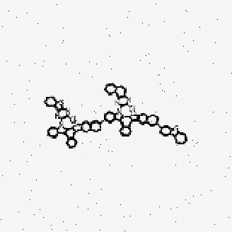 Clc1nc2ccc3ccccc3c2nc1-n1c2ccc(-c3ccc4cc5c(cc4c3)oc3c5c4ccccc4c4c5ccccc5n(-c5nc6c(nc5Cl)sc5ccccc56)c34)cc2c2c3ccccc3c3c4cc5cc(-c6ccc7c(c6)sc6ccccc67)ccc5cc4oc3c21